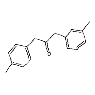 Cc1ccc(CC(=O)Cc2cccc(C)c2)cc1